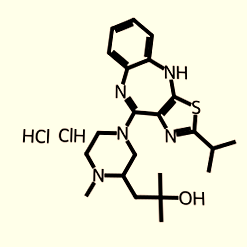 CC(C)c1nc2c(s1)Nc1ccccc1N=C2N1CCN(C)C(CC(C)(C)O)C1.Cl.Cl